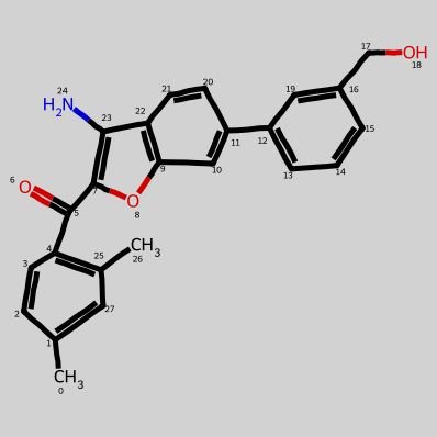 Cc1ccc(C(=O)c2oc3cc(-c4cccc(CO)c4)ccc3c2N)c(C)c1